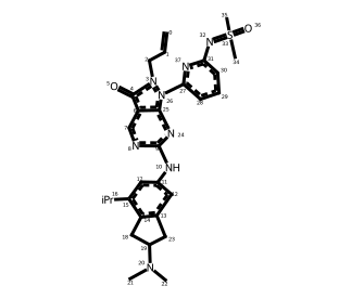 C=CCn1c(=O)c2cnc(Nc3cc4c(c(C(C)C)c3)CC(N(C)C)C4)nc2n1-c1cccc(N=S(C)(C)=O)n1